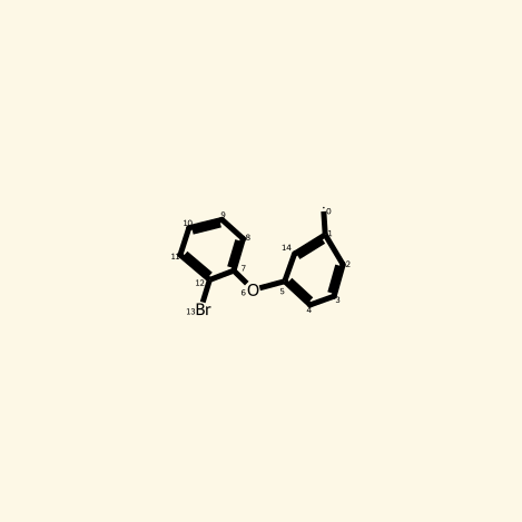 [CH2]c1cccc(Oc2ccccc2Br)c1